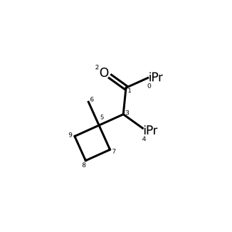 CC(C)C(=O)C(C(C)C)C1(C)CCC1